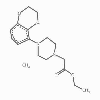 C.CCOC(=O)CN1CCN(c2cccc3c2OCCO3)CC1